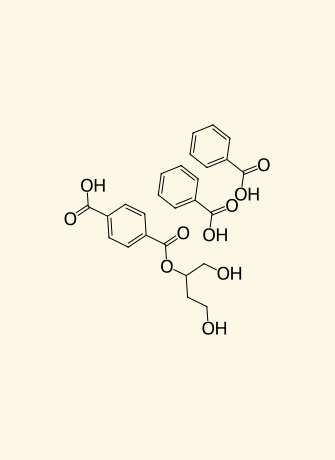 O=C(O)c1ccc(C(=O)OC(CO)CCO)cc1.O=C(O)c1ccccc1.O=C(O)c1ccccc1